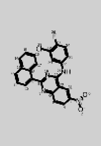 O=[N+]([O-])c1ccc2nc(-c3cccc4ccccc34)nc(Nc3ccc(F)c(Cl)c3)c2c1